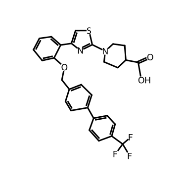 O=C(O)C1CCN(c2nc(-c3ccccc3OCc3ccc(-c4ccc(C(F)(F)F)cc4)cc3)cs2)CC1